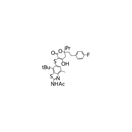 CC(=O)Nc1nc2c(C)cc(SC3=C(O)CC(CCc4ccc(F)cc4)(C(C)C)OC3=O)c(C(C)(C)C)c2s1